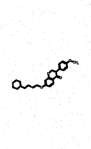 COc1ccc(C2COc3cc(OCCCCN4CCCCC4)ccc3C2=O)cc1